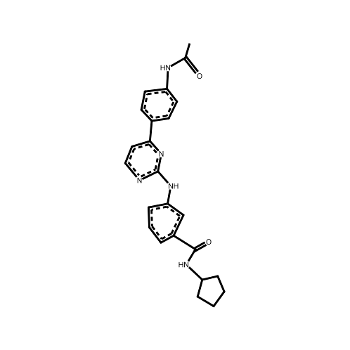 CC(=O)Nc1ccc(-c2ccnc(Nc3cccc(C(=O)NC4CCCC4)c3)n2)cc1